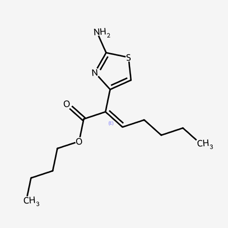 CCCC/C=C(/C(=O)OCCCC)c1csc(N)n1